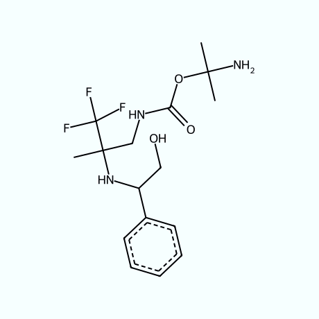 CC(C)(N)OC(=O)NCC(C)(NC(CO)c1ccccc1)C(F)(F)F